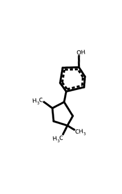 CC1CC(C)(C)CC1c1ccc(O)cc1